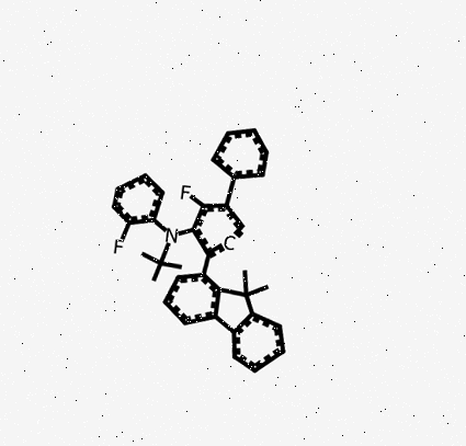 CC1(C)c2ccccc2-c2cccc(-c3ccc(-c4ccccc4)c(F)c3N(c3ccccc3F)C(C)(C)C)c21